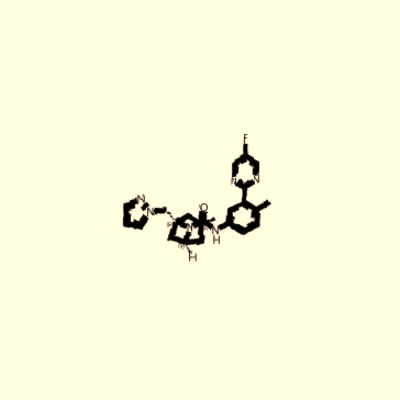 Cc1ccc(NC(=O)N2[C@H]3C[C@H](C)C[C@]2(Cn2cccn2)C3)cc1-c1ncc(F)cn1